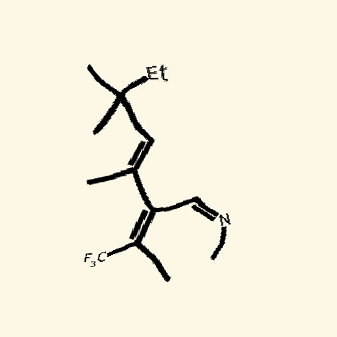 CCC(C)(C)/C=C(C)/C(/C=N\C)=C(/C)C(F)(F)F